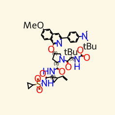 C=CC1C[C@]1(NC(=O)[C@@H]1C[C@@H](Oc2nc(-c3ccc(N(C)C)cc3)cc3cc(OC)ccc23)CN1C(=O)[C@@H](NC(=O)OC(C)(C)C)C(C)(C)C)C(=O)NS(=O)(=O)C1CC1